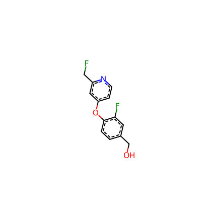 OCc1ccc(Oc2ccnc(CF)c2)c(F)c1